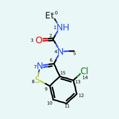 CCNC(=O)N(C)c1nsc2cccc(Cl)c12